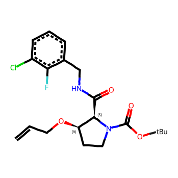 C=CCO[C@@H]1CCN(C(=O)OC(C)(C)C)[C@@H]1C(=O)NCc1cccc(Cl)c1F